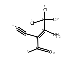 CC(=O)/C(C#N)=C(\N)C(Cl)(Cl)Cl